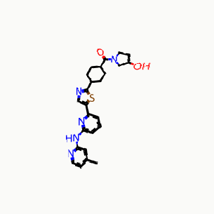 Cc1ccnc(Nc2cccc(-c3cnc(C4CCC(C(=O)N5CCC(O)C5)CC4)s3)n2)c1